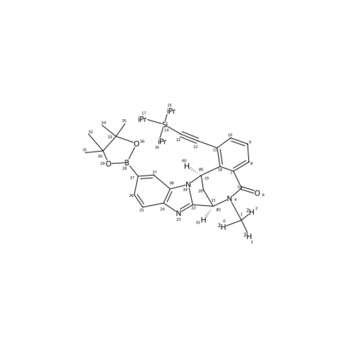 [2H]C([2H])([2H])N1C(=O)c2cccc(C#C[Si](C(C)C)(C(C)C)C(C)C)c2[C@H]2C[C@@H]1c1nc3ccc(B4OC(C)(C)C(C)(C)O4)cc3n12